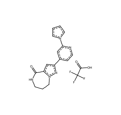 O=C(O)C(F)(F)F.O=C1NCCCn2nc(-c3ccnc(-n4cccc4)c3)cc21